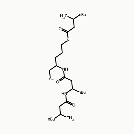 CCCCC(C)CC(=O)NCCCC(CC(C)=O)NC(=O)CC(CCCC)NC(=O)CC(C)CCCC